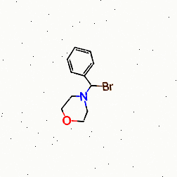 BrC(c1ccccc1)N1CCOCC1